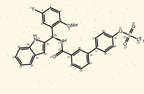 COc1ccc(F)cc1[C@@H](NC(=O)c1cccc(-c2ccc(OS(=O)(=O)C(F)(F)F)cc2)c1)c1cc2ccccc2[nH]1